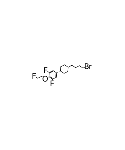 FCCOc1c(F)cc([C@H]2CC[C@H](CCCCBr)CC2)cc1F